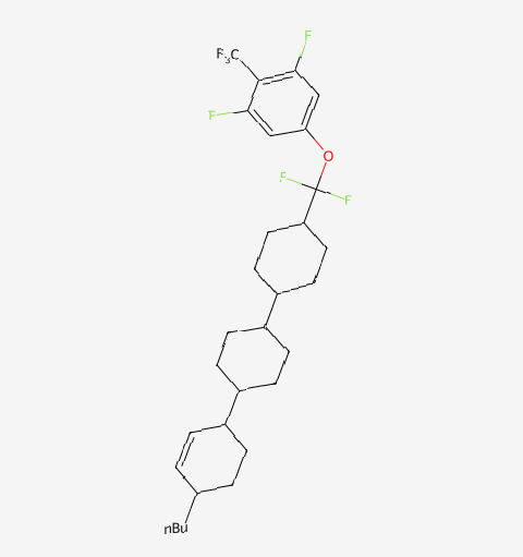 CCCCC1C=CC(C2CCC(C3CCC(C(F)(F)Oc4cc(F)c(C(F)(F)F)c(F)c4)CC3)CC2)CC1